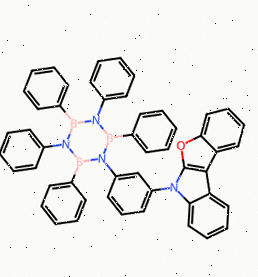 c1ccc(B2N(c3ccccc3)B(c3ccccc3)N(c3cccc(-n4c5ccccc5c5c6ccccc6oc54)c3)B(c3ccccc3)N2c2ccccc2)cc1